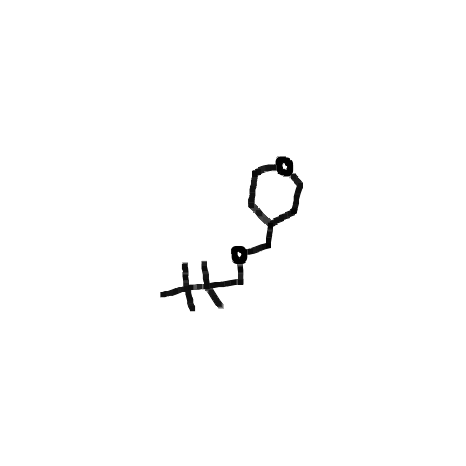 CC(C)(C)C(C)(C)COCC1CCOCC1